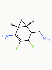 NCC1C(F)C(F)=C(N)[C@@H]2C[C@H]12